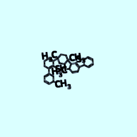 CC1C=CC=C(C2=C(S)C(C3(C)CCC(C)(C4C5=C(C=CC4C)C4C=CC=CC4S5)CC3)=CCC2)C1